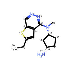 CN(c1nncc2sc(CC(F)(F)F)cc12)[C@@H]1CC[C@H](N)C1